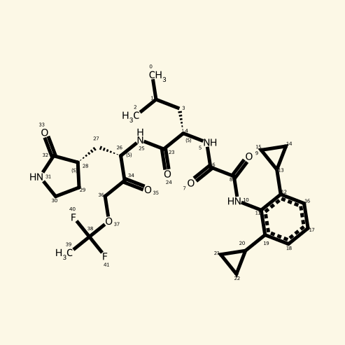 CC(C)C[C@H](NC(=O)C(=O)Nc1c(C2CC2)cccc1C1CC1)C(=O)N[C@@H](C[C@@H]1CCNC1=O)C(=O)COC(C)(F)F